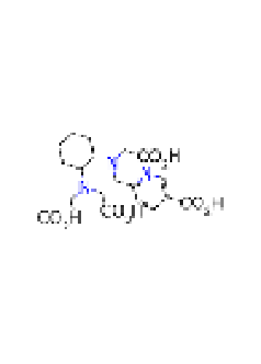 O=C(O)CN(CC(=O)O)C1CCCC[C@@H]1N(CC(=O)O)Cc1ccc(C(=O)O)cn1